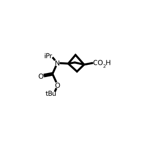 CC(C)N(C(=O)OC(C)(C)C)C12CC(C(=O)O)(C1)C2